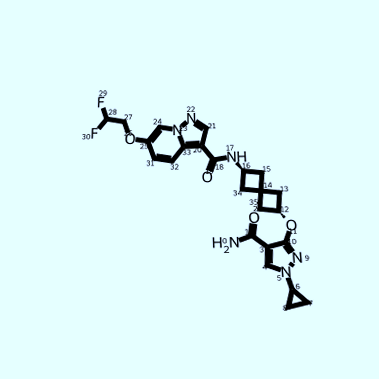 NC(=O)c1cn(C2CC2)nc1O[C@H]1CC2(C[C@H](NC(=O)c3cnn4cc(OCC(F)F)ccc34)C2)C1